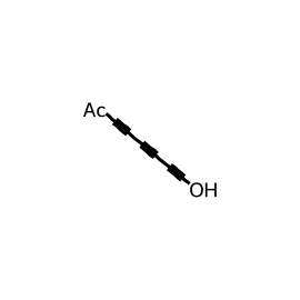 CC(=O)C#CC#CC#CO